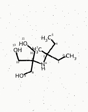 CCC(C)(CC)NC(CO)(CO)CO